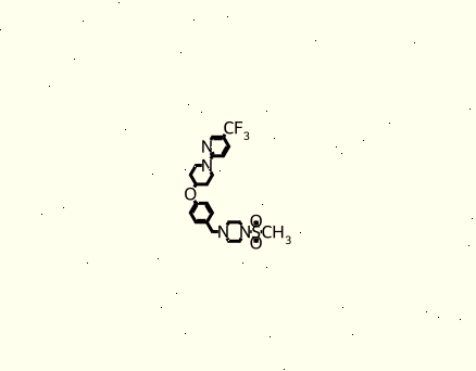 CS(=O)(=O)N1CCN(Cc2ccc(OC3CCN(c4ccc(C(F)(F)F)cn4)CC3)cc2)CC1